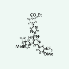 CCOC(=O)C1CCN(c2cnc(-c3nc4nc(-c5ccc(OC)c(C(F)(F)F)c5)cc(N(C)CC5(COC)CCC5)c4[nH]3)cn2)CC1